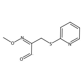 CO/N=C(\[C]=O)CSc1ccccn1